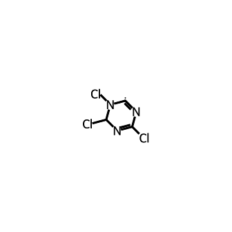 ClC1=NC(Cl)N(Cl)[C]=N1